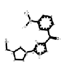 O=C(c1cccc([S+]([O-])C(F)(F)F)c1)c1cnc(N2CC[C@@H](CO)C2)s1